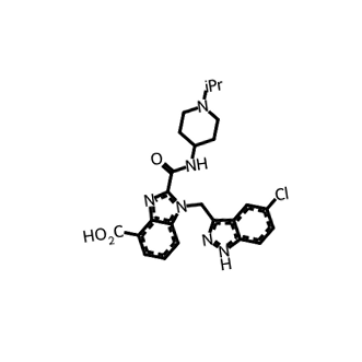 CC(C)N1CCC(NC(=O)c2nc3c(C(=O)O)cccc3n2Cc2n[nH]c3ccc(Cl)cc23)CC1